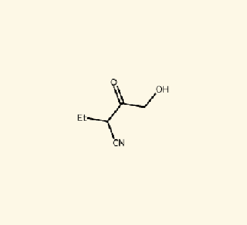 CCC(C#N)C(=O)CO